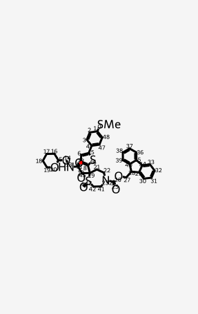 CSc1ccc(-c2ccc(C3(CC(=O)NOC4CCCCO4)CCN(C(=O)OCC4c5ccccc5-c5ccccc54)CCS3(=O)=O)s2)cc1